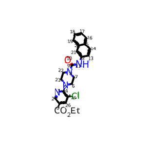 CCOC(=O)c1cnc(N2CCN(C(=O)Nc3ccc4ccccc4c3)CC2)c(Cl)c1